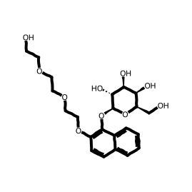 OCCOCCOCCOc1ccc2ccccc2c1O[C@@H]1O[C@H](CO)[C@H](O)[C@H](O)[C@H]1O